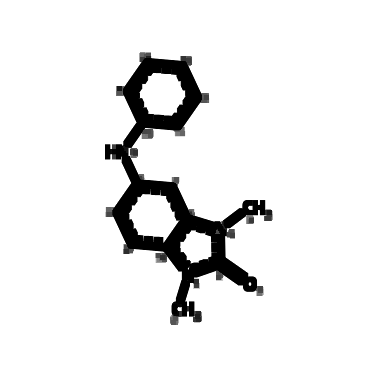 Cn1c(=O)n(C)c2cc(Nc3ccccc3)ccc21